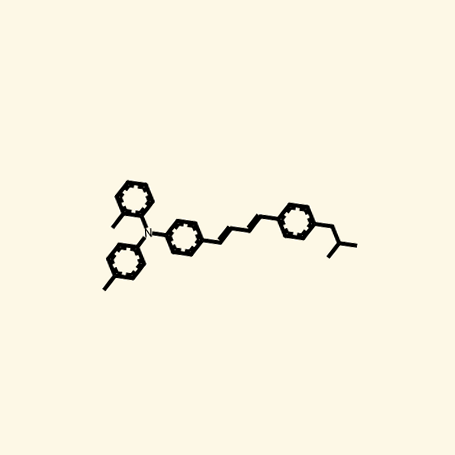 Cc1ccc(N(c2ccc(/C=C/C=C/c3ccc(CC(C)C)cc3)cc2)c2ccccc2C)cc1